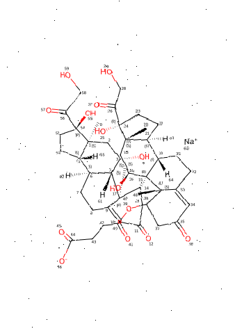 C[C@]12C[C@H](O)[C@H]3[C@@H](CCC4=CC(=O)CC([C@]56[C@@H](O)C[C@@]7(C)[C@@H](CC[C@]7(O)C(=O)CO)[C@@H]5CCC5=CC(=O)CC(OC(=O)CCC(=O)[O-])[C@@]56C)[C@@]43C)[C@@H]1CC[C@]2(O)C(=O)CO.[Na+]